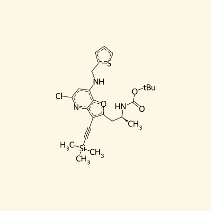 C[C@@H](Cc1oc2c(NCc3cccs3)cc(Cl)nc2c1C#C[Si](C)(C)C)NC(=O)OC(C)(C)C